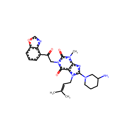 CC(C)=CCn1c(N2CCCC(N)C2)nc2c1c(=O)n(CC(=O)c1cccc3ocnc13)c(=O)n2C